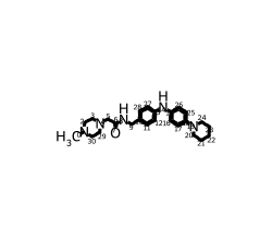 CN1CCN(CC(=O)NCc2ccc(Nc3ccc(N4CCCCC4)cc3)cc2)CC1